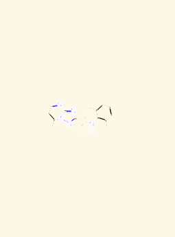 Cc1cccc(C(=O)O)c1NS(=O)(=O)c1nc2nccc(C)n2n1